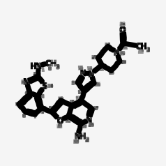 CNc1nc2cccc(-c3cc4c(-c5cnn(C6CCN(C(C)=O)CC6)c5)cnc(N)c4o3)c2s1